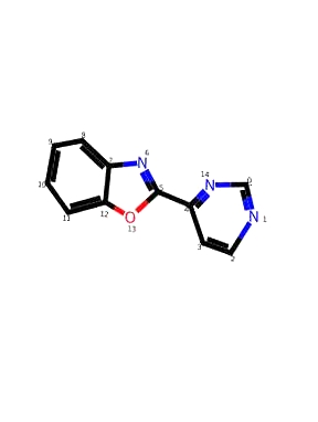 [c]1nccc(-c2nc3ccccc3o2)n1